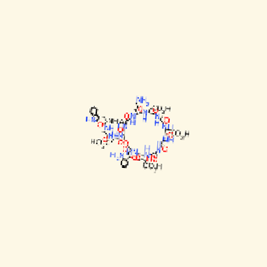 CC(=O)NC(Cc1c[nH]c2ccccc12)C(=O)NC(C)C(=O)NC(CC(=O)O)C(=O)NC1C(=O)NCC(=O)NC(CCCN)C(=O)NC(CC(=O)O)C(=O)NC(C)C(=O)NC(CC(=O)O)C(=O)NCC(=O)NC(CO)C(=O)NC(C(C)CC(=O)O)C(=O)NC(CC(=O)c2ccccc2N)C(=O)OC1C